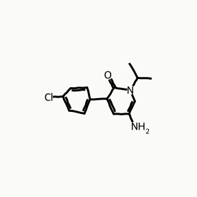 CC(C)n1cc(N)cc(-c2ccc(Cl)cc2)c1=O